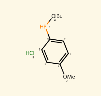 COc1ccc(POCC(C)C)cc1.Cl